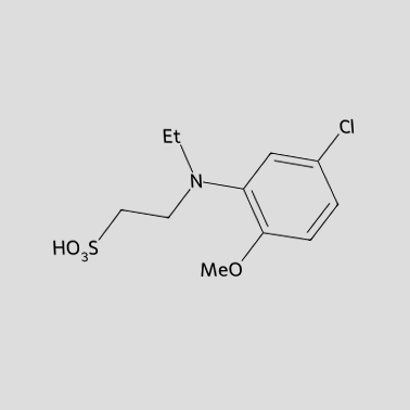 CCN(CCS(=O)(=O)O)c1cc(Cl)ccc1OC